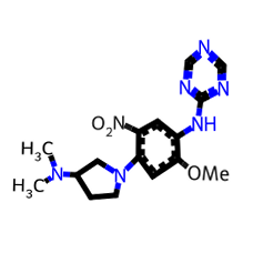 COc1cc(N2CCC(N(C)C)C2)c([N+](=O)[O-])cc1Nc1ncncn1